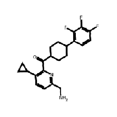 NCc1ccc(C2CC2)c(C(=O)C2CCC(c3ccc(F)c(F)c3F)CC2)n1